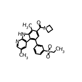 CCS(=O)(=O)c1cccc(-c2cc(C(=O)N3CCC3)c(C)c3[nH]c4ncc(C)cc4c23)c1